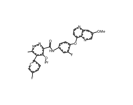 COc1cnc2c(Oc3ccc(NC(=O)c4nnc(C)c(-c5ccc(F)cc5)c4OC(C)C)cc3F)ccnc2c1